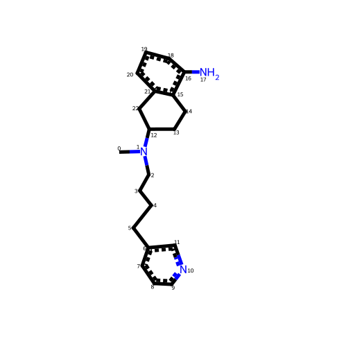 CN(CCCCc1cccnc1)C1CCc2c(N)cccc2C1